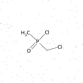 CP(=O)(Cl)CCl